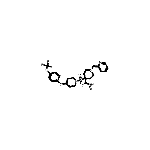 O=C(NO)C1(S(=O)(=O)N2CCC(Oc3ccc(OC(F)(F)F)cc3)CC2)CCN(Cc2ccccn2)CC1